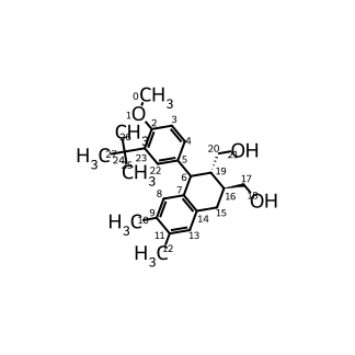 COc1ccc(C2c3cc(C)c(C)cc3C[C@H](CO)[C@H]2CO)cc1C(C)(C)C